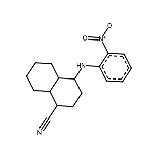 N#CC1CCC(Nc2ccccc2[N+](=O)[O-])C2CCCCC12